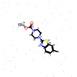 Cc1ccc2nc(N3CCN(C(=O)OC(C)(C)C)CC3)sc2c1